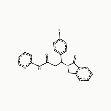 O=C(CC(c1ccc(F)cc1)N1Cc2ccccc2C1=O)Nc1ccccn1